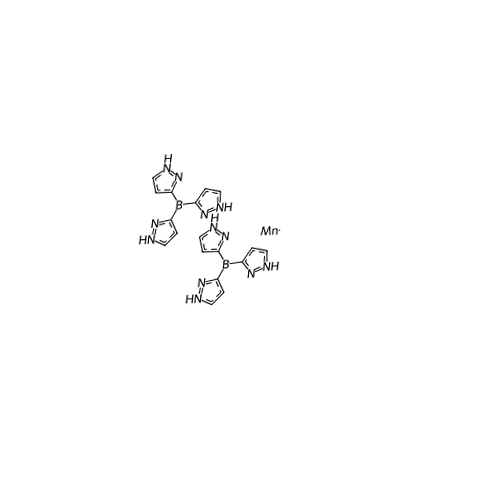 [Mn].c1cc(B(c2cc[nH]n2)c2cc[nH]n2)n[nH]1.c1cc(B(c2cc[nH]n2)c2cc[nH]n2)n[nH]1